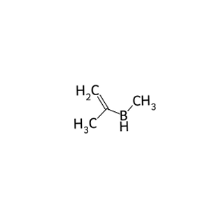 C=C(C)BC